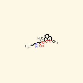 CCCCNCC(O)CO[C@H]1O[C@@H]2O[C@@H](C)CCC3CCCC(C32)[C@H]1C